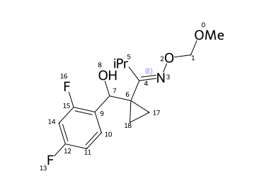 COCO/N=C(\C(C)C)C1(C(O)c2ccc(F)cc2F)CC1